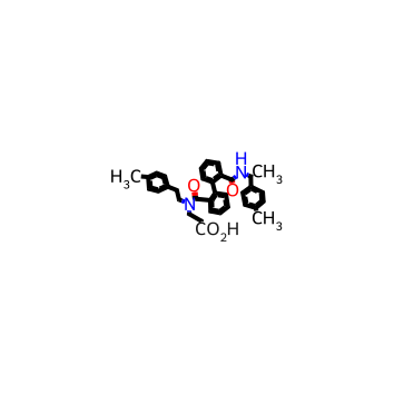 Cc1ccc(CCN(CCC(=O)O)C(=O)c2ccccc2-c2ccccc2C(=O)N[C@H](C)c2ccc(C)cc2)cc1